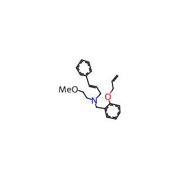 C=CCOc1ccccc1CN(C/C=C/c1ccccc1)CCOC